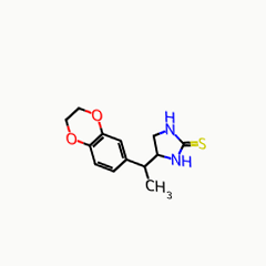 CC(c1ccc2c(c1)OCCO2)C1CNC(=S)N1